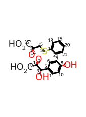 O=C(O)C(=O)C(O)c1ccc(O)cc1.O=C(O)C(=O)CSc1ccccc1